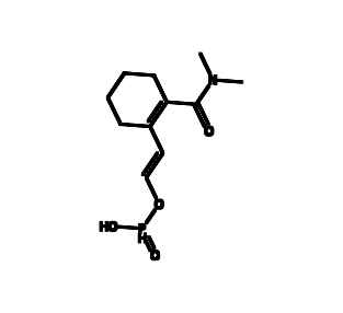 CN(C)C(=O)C1=C(/C=C/O[PH](=O)O)CCCC1